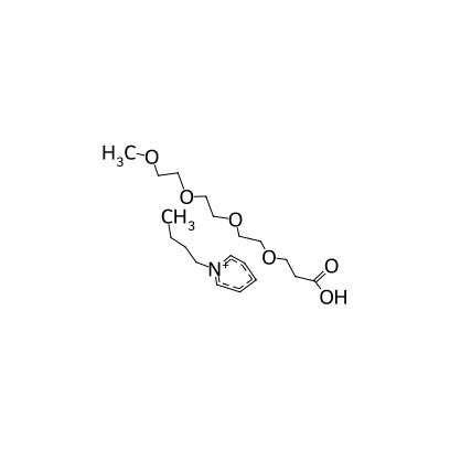 CCCC[n+]1ccccc1.COCCOCCOCCOCCC(=O)O